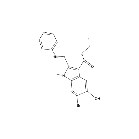 CCOC(=O)c1c(CNc2ccccc2)n(C)c2cc(Br)c(O)cc12